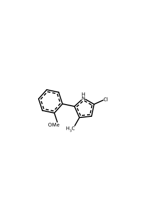 COc1ccccc1-c1[nH]c(Cl)cc1C